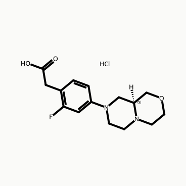 Cl.O=C(O)Cc1ccc(N2CCN3CCOC[C@@H]3C2)cc1F